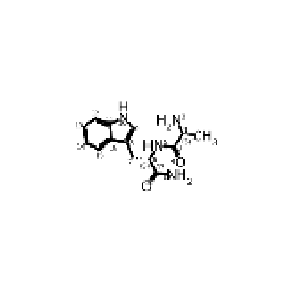 C[C@H](N)C(=O)N[C@@H](Cc1c[nH]c2ccccc12)C(N)=O